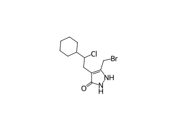 O=c1[nH][nH]c(CBr)c1CC(Cl)C1CCCCC1